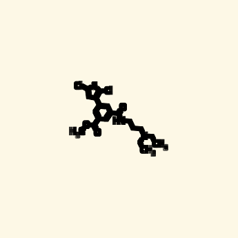 CCN(CC)CCCNC(=O)c1cc(C(=O)OC)cc(-c2cc(Cl)sc2Cl)c1